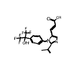 CC(C)c1ncc(C=CC(=O)O)n1-c1ccc(C(O)(C(F)(F)F)C(F)(F)F)cc1